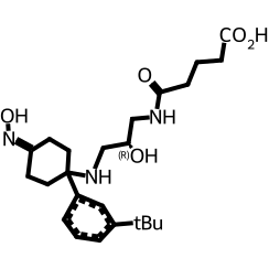 CC(C)(C)c1cccc(C2(NC[C@@H](O)CNC(=O)CCCC(=O)O)CCC(=NO)CC2)c1